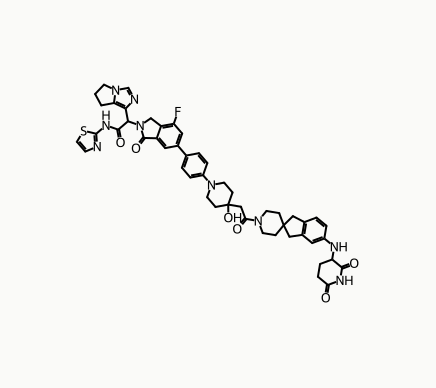 O=C1CCC(Nc2ccc3c(c2)CC2(CCN(C(=O)CC4(O)CCN(c5ccc(-c6cc(F)c7c(c6)C(=O)N(C(C(=O)Nc6nccs6)c6ncn8c6CCC8)C7)cc5)CC4)CC2)C3)C(=O)N1